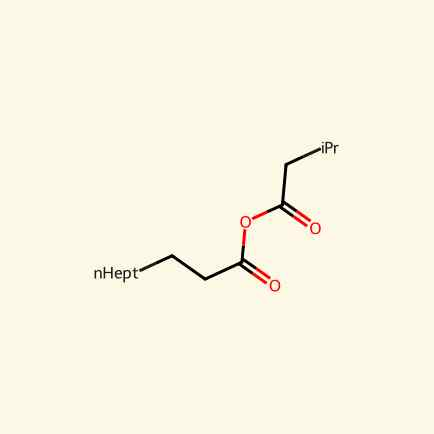 CCCCCCCCCC(=O)OC(=O)CC(C)C